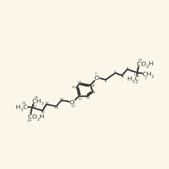 CC(C)(CCCCOc1ccc(OCCCCC(C)(C)C(=O)O)cc1)C(=O)O